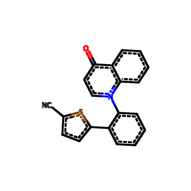 N#Cc1ccc(-c2ccccc2-n2ccc(=O)c3ccccc32)s1